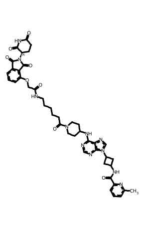 Cc1cccc(C(=O)NC2CC(n3cnc4c(NC5CCN(C(=O)CCCCCNC(=O)COc6cccc7c6C(=O)N([C@@H]6CCC(=O)NC6=O)C7=O)CC5)ncnc43)C2)n1